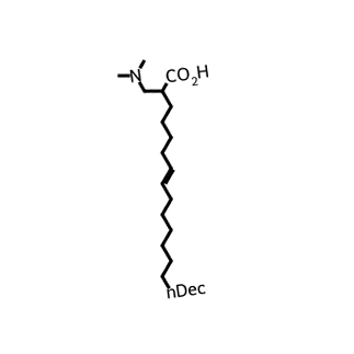 CCCCCCCCCCCCCCCCC=CCCCCC(CN(C)C)C(=O)O